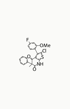 COc1cc(F)ccc1-c1c(Cl)sc2c1C(=O)C(C)(c1ccccc1)C(=O)N2